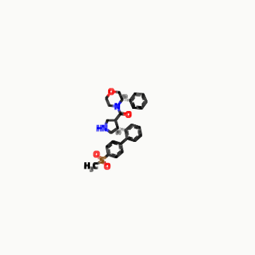 CS(=O)(=O)c1ccc(-c2ccccc2[C@@H]2CNCC2C(=O)N2CCOC[C@@H]2c2ccccc2)cc1